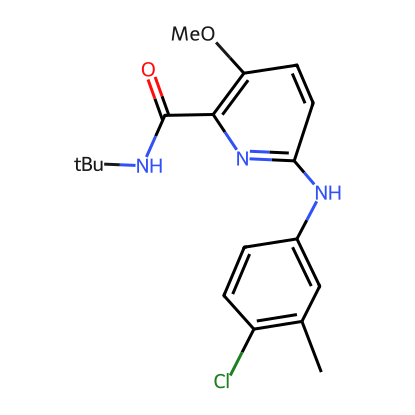 COc1ccc(Nc2ccc(Cl)c(C)c2)nc1C(=O)NC(C)(C)C